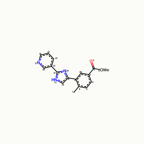 COC(=O)c1ccc(C)c(-c2c[nH]c(-c3cccnc3)n2)c1